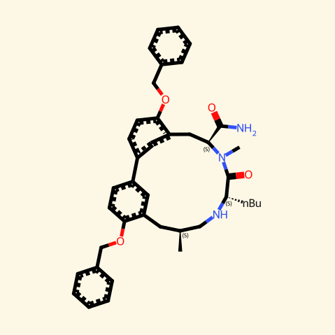 CCCC[C@@H]1NC[C@@H](C)Cc2cc(ccc2OCc2ccccc2)-c2ccc(OCc3ccccc3)c(c2)C[C@@H](C(N)=O)N(C)C1=O